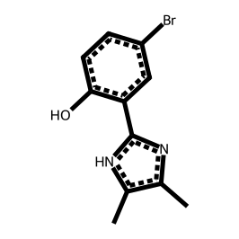 Cc1nc(-c2cc(Br)ccc2O)[nH]c1C